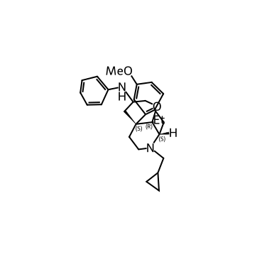 CC[C@@]12OCC(Nc3ccccc3)C[C@]13CCN(CC1CC1)[C@H]2Cc1ccc(OC)cc13